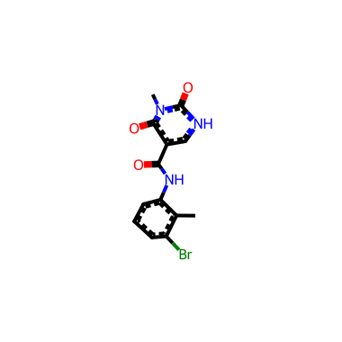 Cc1c(Br)cccc1NC(=O)c1c[nH]c(=O)n(C)c1=O